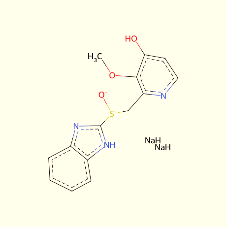 COc1c(O)ccnc1C[S+]([O-])c1nc2ccccc2[nH]1.[NaH].[NaH]